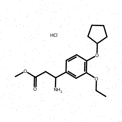 CCOc1cc(C(N)CC(=O)OC)ccc1OC1CCCC1.Cl